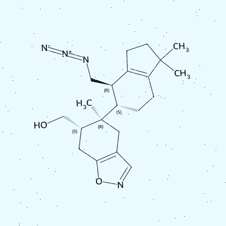 CC1(C)CCC2=C1CC[C@H]([C@@]1(C)Cc3cnoc3C[C@@H]1CO)[C@H]2CN=[N+]=[N-]